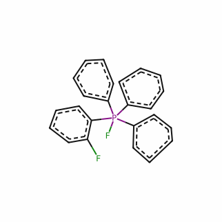 Fc1ccccc1P(F)(c1ccccc1)(c1ccccc1)c1ccccc1